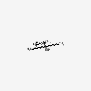 CC(=O)[O-].CCCCCCCCCCCCCCCCN.O=S(=O)([O-])CCO.[Na+].[Na+]